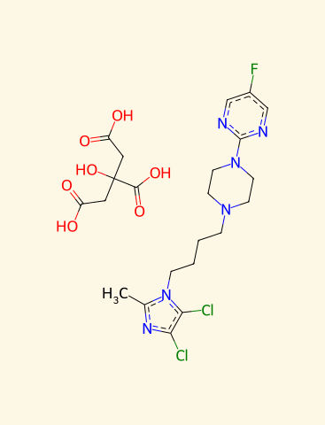 Cc1nc(Cl)c(Cl)n1CCCCN1CCN(c2ncc(F)cn2)CC1.O=C(O)CC(O)(CC(=O)O)C(=O)O